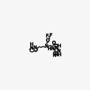 O=C(O)[C@H](CCN(CCCCc1ccc2c(n1)NCCC2)CCOCC(F)F)Nc1ncnc2[nH]ncc12